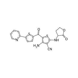 N#Cc1c(NC2CCOC2=O)sc(C(=O)c2ccc(-c3ccccn3)s2)c1N